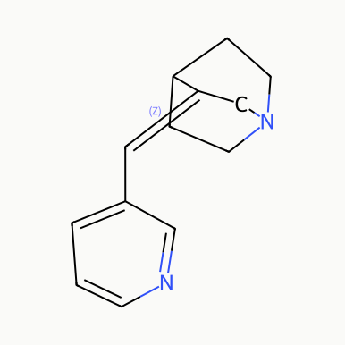 C(=C1/CN2CCC1CC2)/c1cccnc1